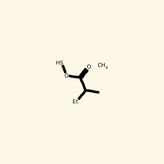 C.CCC(C)C(=O)OS